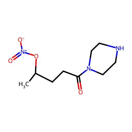 CC(CCC(=O)N1CCNCC1)O[N+](=O)[O-]